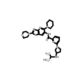 CC(NC1CCN(c2cccc(C(=O)Nc3cc4sc(N5CCOCC5)nc4nc3N3CCCCC3)n2)C1)C(=O)O